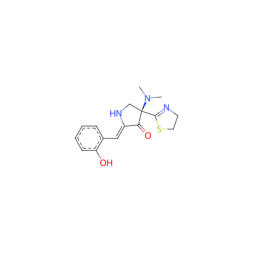 CN(C)[C@]1(C2=NCCS2)CN/C(=C\c2ccccc2O)C1=O